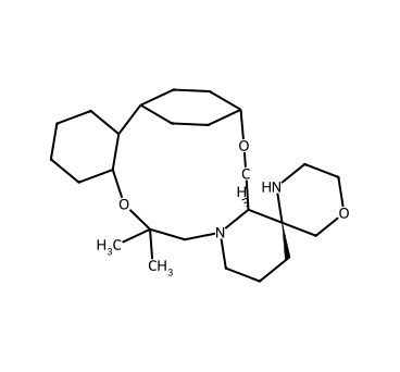 CC1(C)CN2CCC[C@@]3(COCCN3)[C@@H]2COC2CCC(CC2)C2CCCCC2O1